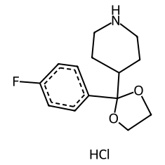 Cl.Fc1ccc(C2(C3CCNCC3)OCCO2)cc1